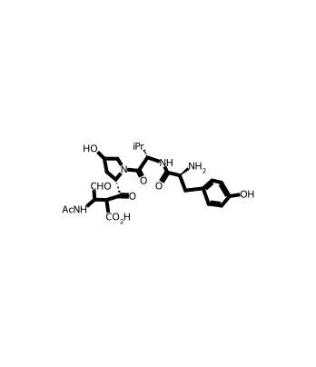 CC(=O)NC(C=O)C(C(=O)O)C(=O)[C@@H]1CC(O)CN1C(=O)[C@@H](NC(=O)[C@@H](N)Cc1ccc(O)cc1)C(C)C